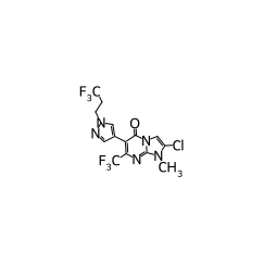 Cn1c(Cl)cn2c(=O)c(-c3cnn(CCC(F)(F)F)c3)c(C(F)(F)F)nc12